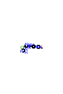 CSN1CCN(c2ccc(-c3nc4c(NC5CCN(C)CC5)c(Cl)cnc4[nH]3)cc2)CC1